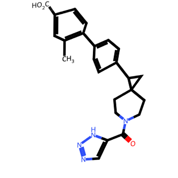 Cc1cc(C(=O)O)ccc1-c1ccc(C2CC23CCN(C(=O)c2cnn[nH]2)CC3)cc1